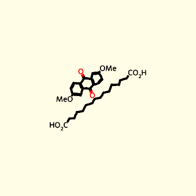 COc1ccc2c(c1)C(=O)c1ccc(OC)cc1C2=O.O=C(O)CCCCCCCCCCCCCCC(=O)O